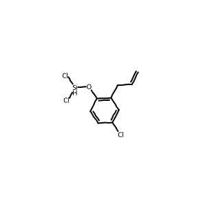 C=CCc1cc(Cl)ccc1O[SiH](Cl)Cl